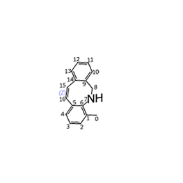 Cc1cccc2c1NCc1ccccc1/C=C\2